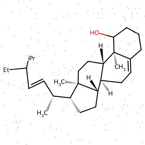 CCC(/C=C/[C@@H](C)[C@H]1CC[C@H]2[C@@H]3CC=C4CCCC(O)[C@]4(C)[C@H]3CC[C@]12C)C(C)C